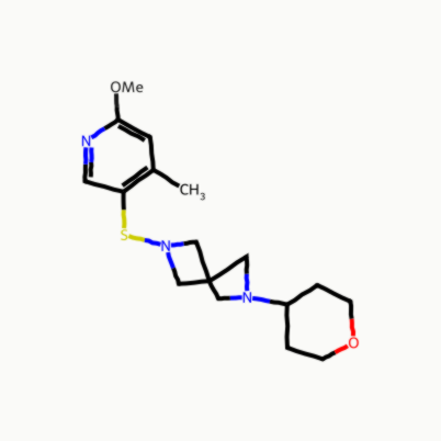 COc1cc(C)c(SN2CC3(C2)CN(C2CCOCC2)C3)cn1